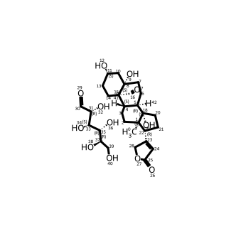 C[C@]12CC[C@H]3[C@@H](CC[C@]4(O)C[C@@H](O)CC[C@]34C=O)[C@@]1(O)CC[C@@H]2C1=CC(=O)OC1.O=C[C@H](O)[C@@H](O)[C@H](O)[C@H](O)CO